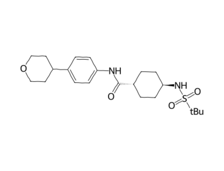 CC(C)(C)S(=O)(=O)N[C@H]1CC[C@H](C(=O)Nc2ccc(C3CCOCC3)cc2)CC1